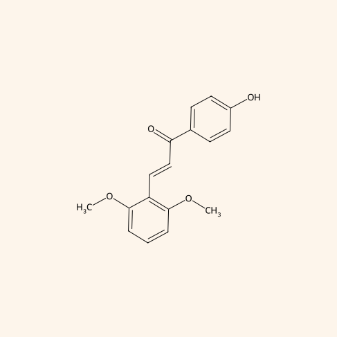 COc1cccc(OC)c1C=CC(=O)c1ccc(O)cc1